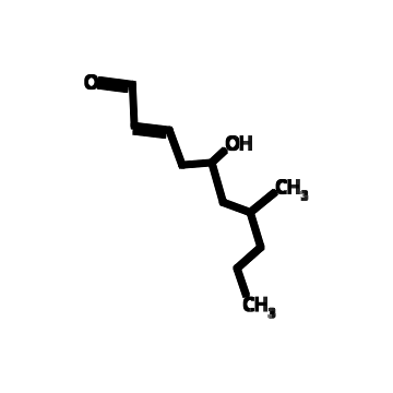 CCCC(C)CC(O)CC=CC=O